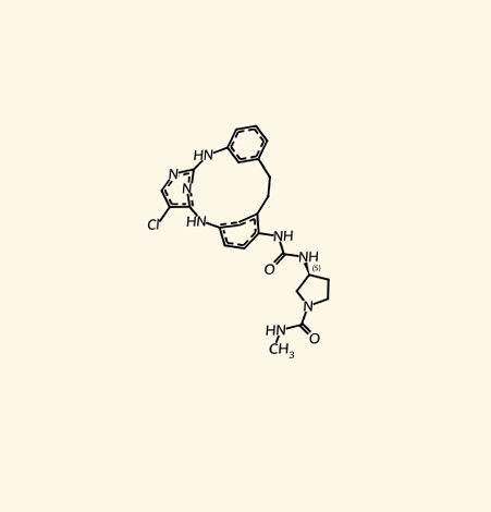 CNC(=O)N1CC[C@H](NC(=O)Nc2ccc3cc2CCc2cccc(c2)Nc2ncc(Cl)c(n2)N3)C1